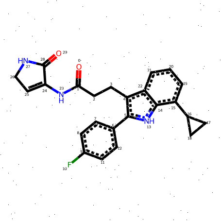 O=C(CCc1c(-c2ccc(F)cc2)[nH]c2c(C3CC3)cccc12)NC1=CCNC1=O